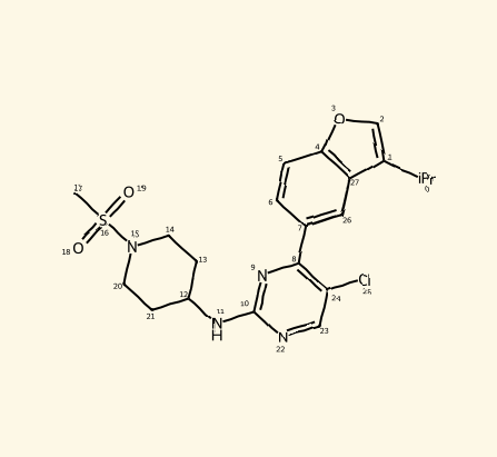 CC(C)c1coc2ccc(-c3nc(NC4CCN(S(C)(=O)=O)CC4)ncc3Cl)cc12